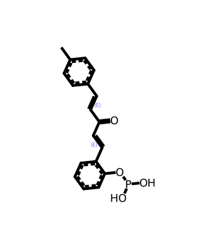 Cc1ccc(/C=C/C(=O)/C=C/c2ccccc2OP(O)O)cc1